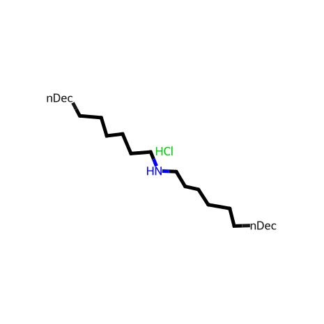 CCCCCCCCCCCCCCCCNCCCCCCCCCCCCCCCC.Cl